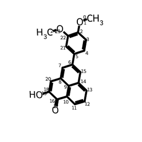 COc1ccc(-c2cc3c4c(cccc4c2)C(=O)C(O)=C3)cc1OC